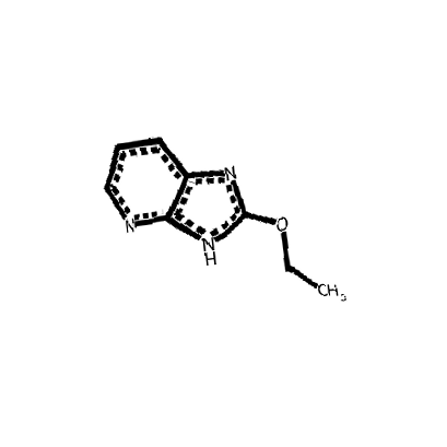 CCOc1nc2cccnc2[nH]1